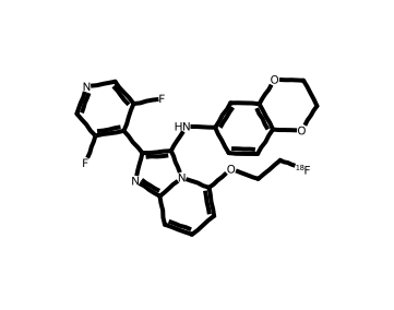 Fc1cncc(F)c1-c1nc2cccc(OCC[18F])n2c1Nc1ccc2c(c1)OCCO2